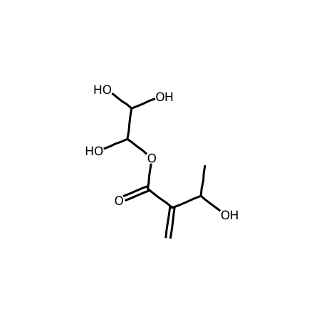 C=C(C(=O)OC(O)C(O)O)C(C)O